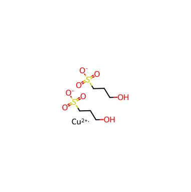 O=S(=O)([O-])CCCO.O=S(=O)([O-])CCCO.[Cu+2]